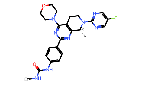 CCNC(=O)Nc1ccc(-c2nc3c(c(N4CCOCC4)n2)CCN(c2ncc(F)cn2)[C@@H]3C)cc1